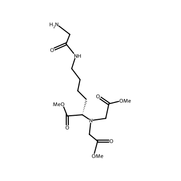 COC(=O)CN(CC(=O)OC)[C@@H](CCCCNC(=O)CN)C(=O)OC